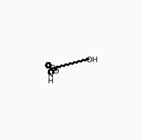 O=C(CCCCCCCCCCCCCCCO)OC1(c2ccccc2)CCNCC1